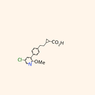 COc1ncc(Cl)cc1-c1ccc(CCC2CC2C(=O)O)cc1